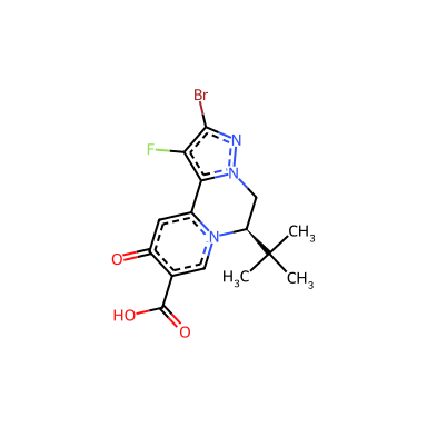 CC(C)(C)[C@@H]1Cn2nc(Br)c(F)c2-c2cc(=O)c(C(=O)O)cn21